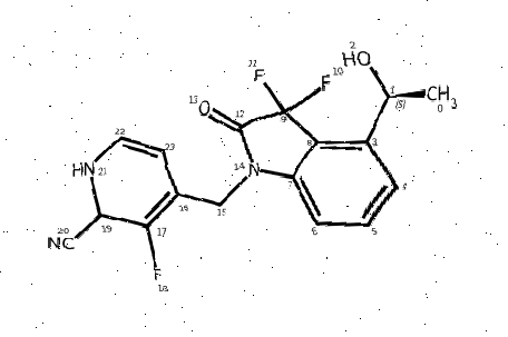 C[C@H](O)c1cccc2c1C(F)(F)C(=O)N2CC1=C(F)C(C#N)NC=C1